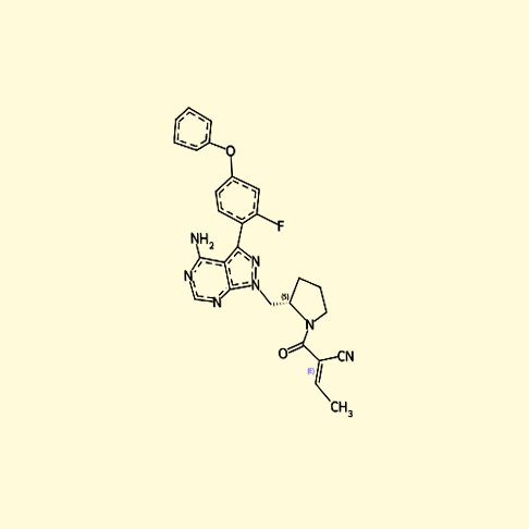 C/C=C(\C#N)C(=O)N1CCC[C@H]1Cn1nc(-c2ccc(Oc3ccccc3)cc2F)c2c(N)ncnc21